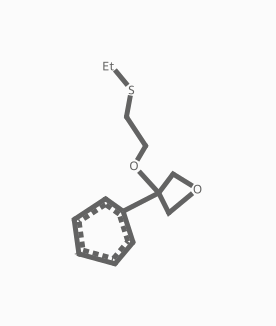 CCSCCOC1(c2cc[c]cc2)COC1